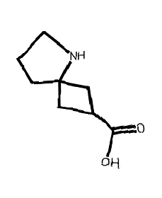 O=C(O)C1CC2(CCCN2)C1